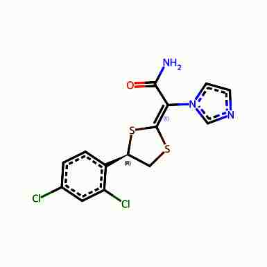 NC(=O)/C(=C1/SC[C@@H](c2ccc(Cl)cc2Cl)S1)n1ccnc1